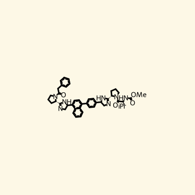 COC(=O)N[C@H](C(=O)N1CCC[C@H]1C1=NCC(c2ccc(-c3ccc(C4CN=C([C@@H]5CCCN5C(=O)Cc5ccccc5)N4)c4ccccc34)cc2)N1)C(C)C